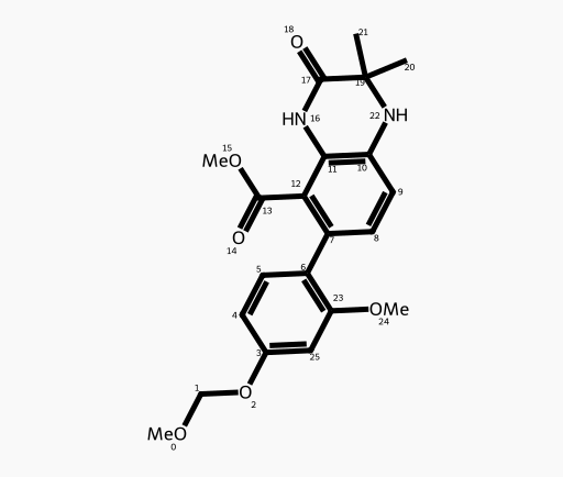 COCOc1ccc(-c2ccc3c(c2C(=O)OC)NC(=O)C(C)(C)N3)c(OC)c1